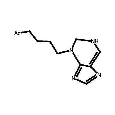 CC(=O)CCCCN1CNC=C2N=CN=C21